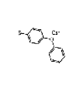 [Cs+].[S-]c1ccc(Oc2ccccc2)cc1